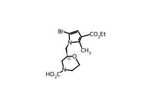 CCOC(=O)c1cc(Br)n(C[C@@H]2CN(C(=O)O)CCO2)c1C